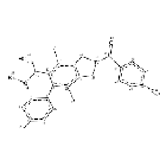 Cc1ccc(-c2c(C)c3c(c(C)c2C(OC(C)(C)C)C(=O)O)CN(C(=O)c2ccc(C(F)(F)F)cc2)C3)cc1